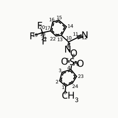 Cc1ccc(S(=O)(=O)ON=C(C#N)c2cccc(C(F)(F)F)c2)cc1